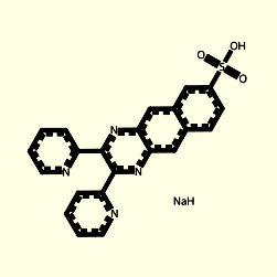 O=S(=O)(O)c1ccc2cc3nc(-c4ccccn4)c(-c4ccccn4)nc3cc2c1.[NaH]